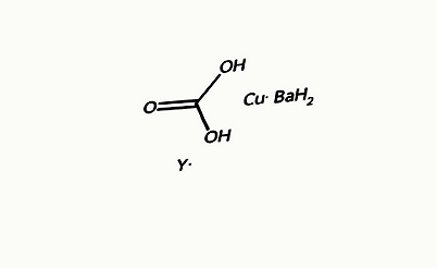 O=C(O)O.[BaH2].[Cu].[Y]